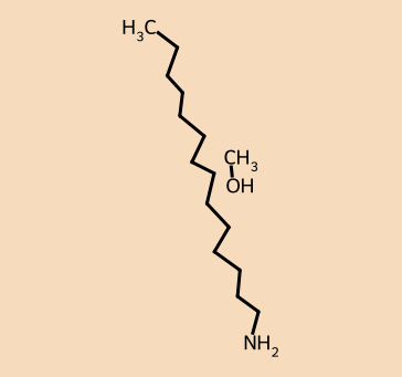 CCCCCCCCCCCCCCN.CO